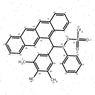 Cc1cc(C(c2c3ccccc3cc3cc4ccccc4cc23)[S+](OS(=O)(=O)C(F)(F)F)c2ccccc2)cc(C)c1C#N